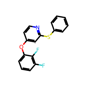 Fc1cccc(Oc2[c]c(Sc3ccccc3)ncc2)c1F